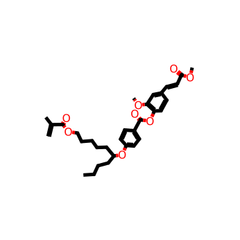 C=C(C)C(=O)OCCCCCC(CCCC)Oc1ccc(C(=O)Oc2ccc(/C=C/C(=O)OC)cc2OC)cc1